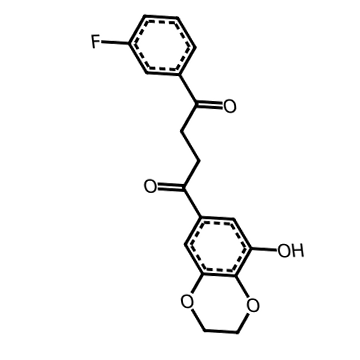 O=C(CCC(=O)c1cc(O)c2c(c1)OCCO2)c1cccc(F)c1